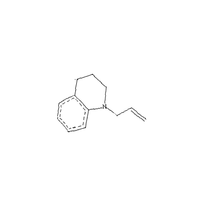 C=CCN1CC[CH]c2ccccc21